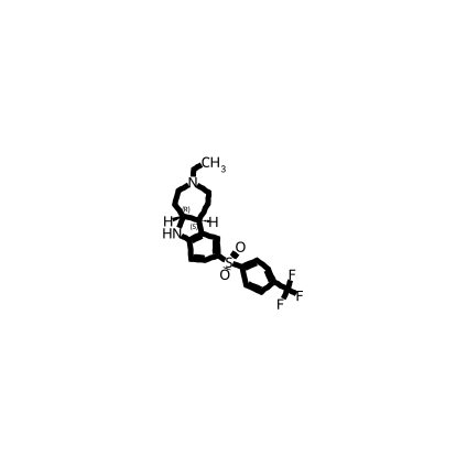 CCN1CC[C@H]2Nc3ccc(S(=O)(=O)c4ccc(C(F)(F)F)cc4)cc3[C@@H]2CC1